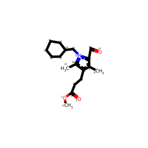 COC(=O)CCc1c(C)c(C=O)n(CC2CCCCC2)c1C